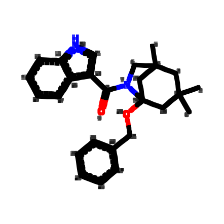 CC1(C)CC2(C)CN(C(=O)c3c[nH]c4ccccc34)C(OCc3ccccc3)(C1)C2